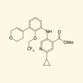 COC(=O)c1cc(C2CC2)ncc1Nc1cccc(C2=CCOCC2)c1OCC(F)(F)F